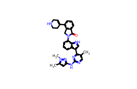 Cc1cnc(Nc2cc(C)n(C)n2)nc1-c1c[nH]c2c(N3Cc4c(cccc4C4=CCNCC4)C3=O)cccc12